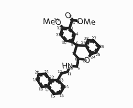 COC(=O)c1cc(C2CC(CNCCc3cccc4ccccc34)Oc3ccccc32)ccc1OC